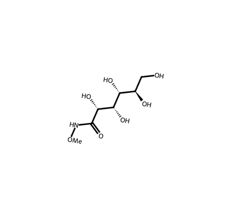 CONC(=O)[C@H](O)[C@@H](O)[C@H](O)[C@H](O)CO